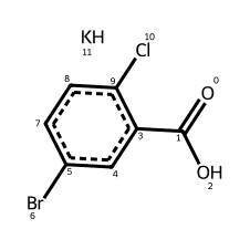 O=C(O)c1cc(Br)ccc1Cl.[KH]